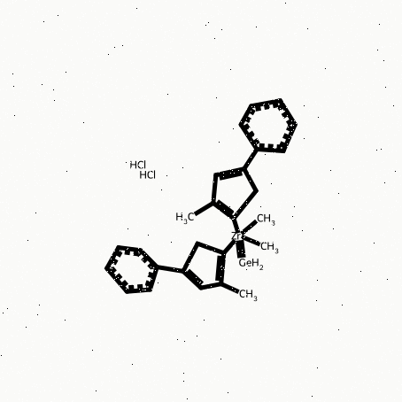 CC1=[C]([Zr]([CH3])([CH3])(=[GeH2])[C]2=C(C)C=C(c3ccccc3)C2)CC(c2ccccc2)=C1.Cl.Cl